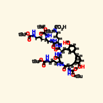 CC(C)(C)OC(=O)NCCC[C@@H](CNC(=O)[C@H](CCCN(C(=O)O)C(C)(C)C)NC(=O)[C@@H]1Cc2cc(ccc2O)-c2ccc(O)c(c2)C[C@H](NC(=O)OC(C)(C)C)C(=O)N[C@@H](CCCNC(=O)OC(C)(C)C)C(=O)N1)NC(=O)OC(C)(C)C